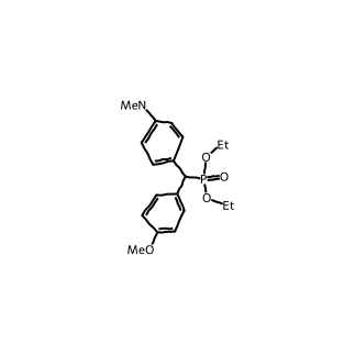 CCOP(=O)(OCC)C(c1ccc(NC)cc1)c1ccc(OC)cc1